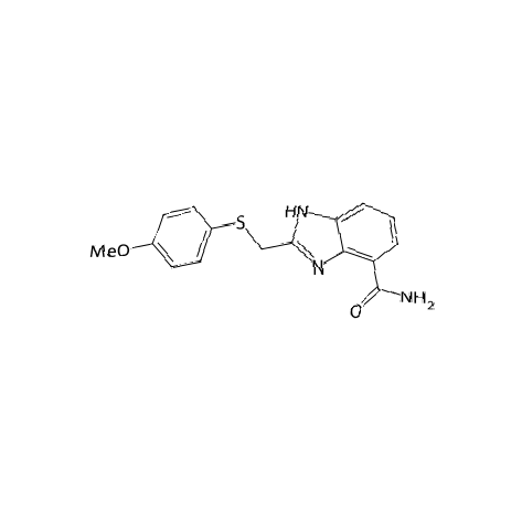 COc1ccc(SCc2nc3c(C(N)=O)cccc3[nH]2)cc1